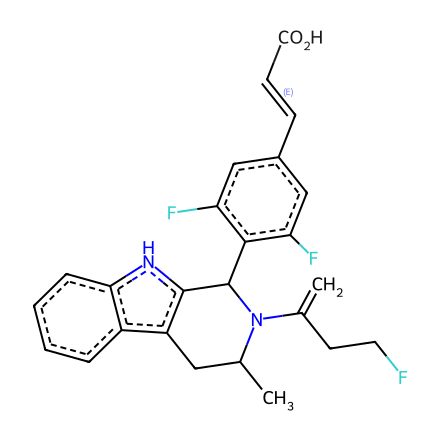 C=C(CCF)N1C(C)Cc2c([nH]c3ccccc23)C1c1c(F)cc(/C=C/C(=O)O)cc1F